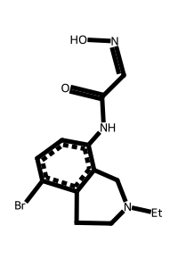 CCN1CCc2c(Br)ccc(NC(=O)/C=N\O)c2C1